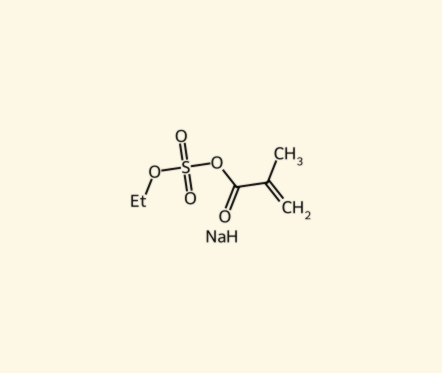 C=C(C)C(=O)OS(=O)(=O)OCC.[NaH]